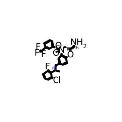 C/C(=C\c1ccc2c(c1)N(S(=O)(=O)c1cccc(C(F)(F)F)c1)C[C@H]([C@@H](C)N)O2)c1c(F)cccc1Cl